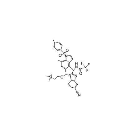 Cc1ccc(S(=O)(=O)n2ccc3c(C(NC(=O)C(F)(F)F)c4nc5cc(C#N)ccc5n4COCC[Si](C)(C)C)c(C)cc(C)c32)cc1